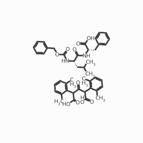 CC(C)C[C@H](NC(=O)OCc1ccccc1)C(=O)N[C@@H](Cc1ccccc1)C(=O)O.Cc1cccc(C)c1C(C(=O)O)C(=O)C(C(=O)O)c1c(C)cccc1C